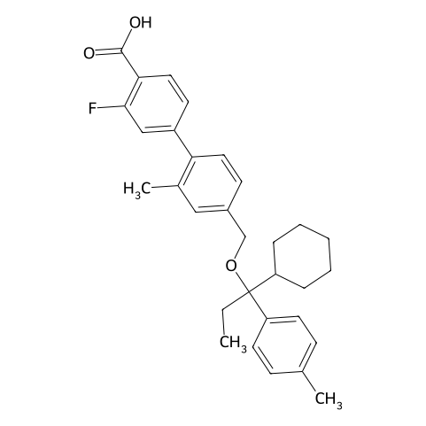 CCC(OCc1ccc(-c2ccc(C(=O)O)c(F)c2)c(C)c1)(c1ccc(C)cc1)C1CCCCC1